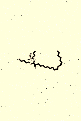 CCCCC/C=C\C/C=C\CCCCCCCC(=O)C(OCCCCC)O[Si](CCC)(OC)OC